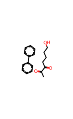 CC(=O)C(=O)CCCCO.c1ccc(-c2ccccc2)cc1